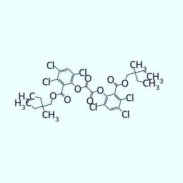 CCC(C)(CC)COC(=O)c1c(Cl)c(Cl)cc(Cl)c1OC(=O)C(=O)Oc1c(Cl)cc(Cl)c(Cl)c1C(=O)OCC(C)(CC)CC